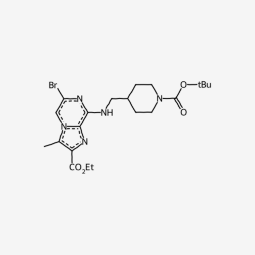 CCOC(=O)c1nc2c(NCC3CCN(C(=O)OC(C)(C)C)CC3)nc(Br)cn2c1C